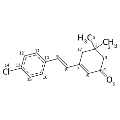 CC1(C)CC(=O)C=C(C=Cc2ccc(Cl)cc2)C1